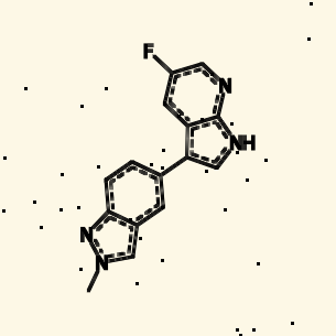 Cn1cc2cc(-c3c[nH]c4ncc(F)cc34)ccc2n1